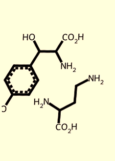 NC(C(=O)O)C(O)c1ccc(O)cc1.NCCC(N)C(=O)O